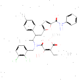 CC(C(Cc1ccc(C(=O)Nc2ccccc2)o1)c1ccc([N+](=O)[O-])cc1)N(Cc1cccc(Cl)c1Cl)C(=O)C(O)=C(CC(=O)O)C(=O)OC(C)(C)C